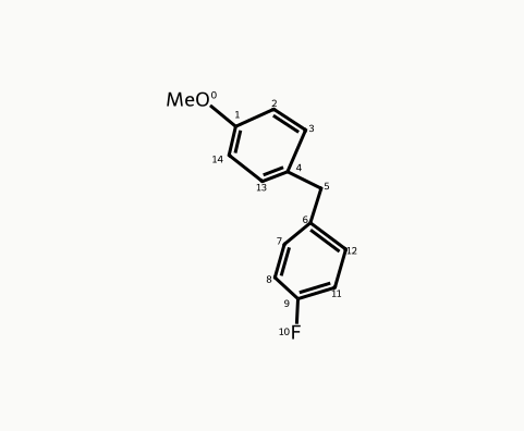 COc1ccc(Cc2ccc(F)cc2)cc1